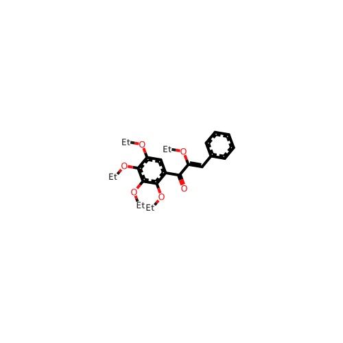 CCOC(=Cc1ccccc1)C(=O)c1cc(OCC)c(OCC)c(OCC)c1OCC